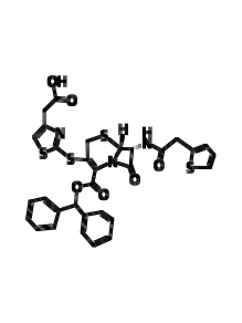 O=C(O)Cc1csc(SC2=C(C(=O)OC(c3ccccc3)c3ccccc3)N3C(=O)[C@@H](NC(=O)Cc4cccs4)[C@H]3SC2)n1